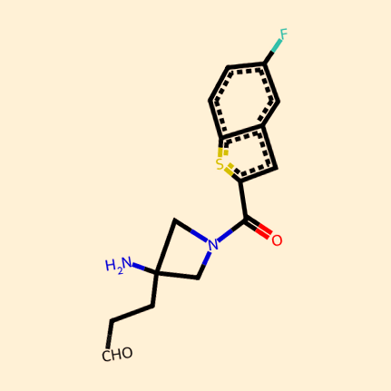 NC1(CCC=O)CN(C(=O)c2cc3cc(F)ccc3s2)C1